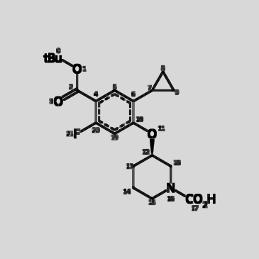 CC(C)(C)OC(=O)c1cc(C2CC2)c(O[C@@H]2CCCN(C(=O)O)C2)cc1F